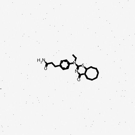 CCN(C1=NC(=O)C2CCCCCCC2S1)c1ccc(CCC(N)=O)cc1